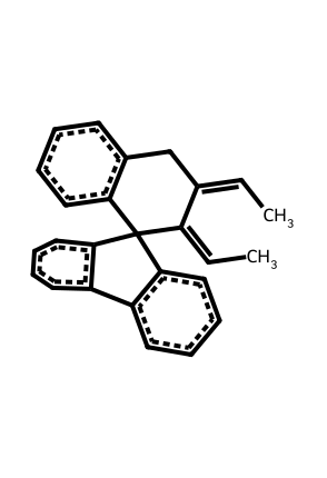 C/C=C1/Cc2ccccc2C2(/C1=C/C)c1ccccc1-c1ccccc12